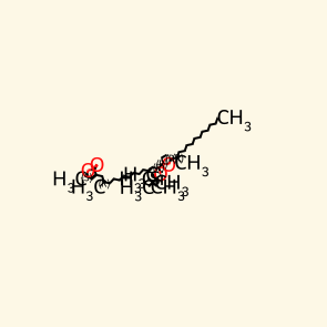 CCCCCCCCCCCC[C@@H](C)[C@H]1CC[C@H]([C@@H](CCCCCCCCCC[C@@H](C)CC2=C[C@H](C)OC2=O)O[Si](C)(C)C(C)(C)C)O1